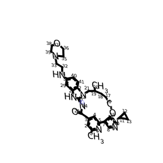 Cc1cc2cc(n1)-c1cnn(C3CC3)c1OCCCC(C)CN1/C(=N/C2=O)Nc2cc(NCCN3CCOCC3)ccc21